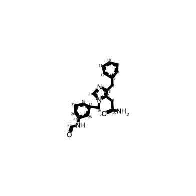 NC(=O)Cc1c(Cc2ccccc2)ncn1Cc1cccc(NC=O)c1